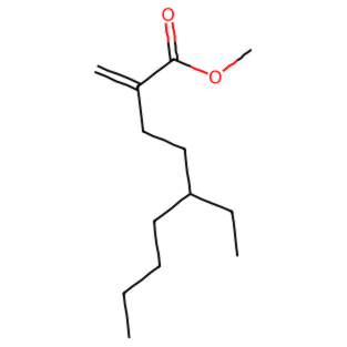 C=C(CCC(CC)CCCC)C(=O)OC